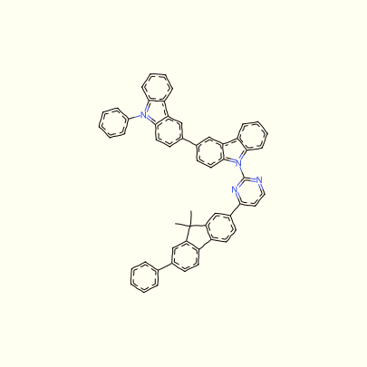 CC1(C)c2cc(-c3ccccc3)ccc2-c2ccc(-c3ccnc(-n4c5ccccc5c5cc(-c6ccc7c(c6)c6ccccc6n7-c6ccccc6)ccc54)n3)cc21